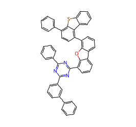 c1ccc(-c2cccc(-c3nc(-c4ccccc4)nc(-c4cccc5c4oc4c(-c6ccc(-c7ccccc7)c7sc8ccccc8c67)cccc45)n3)c2)cc1